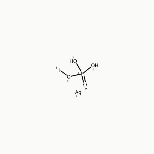 O=P(O)(O)OI.[Ag]